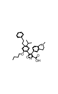 CCCCOc1cc(CCc2ccccc2)c(C(C)C)cc1-c1onc(C(=O)O)c1-c1ccc2c(c1)CCN(C)C2